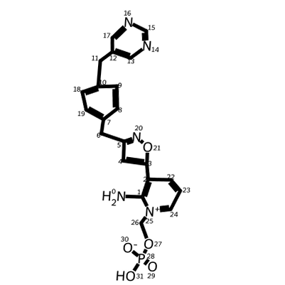 Nc1c(-c2cc(Cc3ccc(Cc4cncnc4)cc3)no2)ccc[n+]1COP(=O)([O-])O